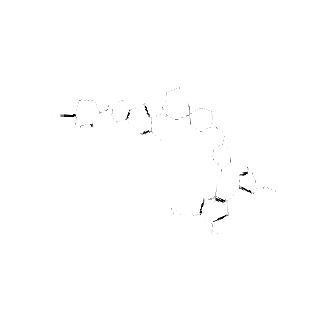 COc1cc(N2CCC(CN3CCC4(CCCN(c5cc6c(cc5F)CN(C5CCC(=O)NC5=O)C6)C4)CC3)CC2)c(-c2cnn(C)c2)cc1N